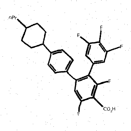 CCCC1CCC(c2ccc(-c3cc(F)c(C(=O)O)c(F)c3-c3cc(F)c(F)c(F)c3)cc2)CC1